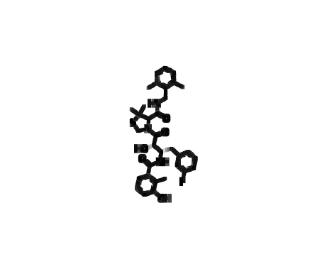 Cc1cccc(C)c1CNC(=O)C1N(C(=O)[C@@H](O)[C@H](Cc2cccc(F)c2)NC(=O)c2cccc(O)c2C)CSC1(C)C